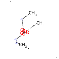 CCCC/C=C\C/C=C\CCCCCCCC(=O)O[C@@H](COC(=O)CCCCCCCCC/C=C\CCCCCCCCCC)COC(=O)CCCCCCCCCCCCCC